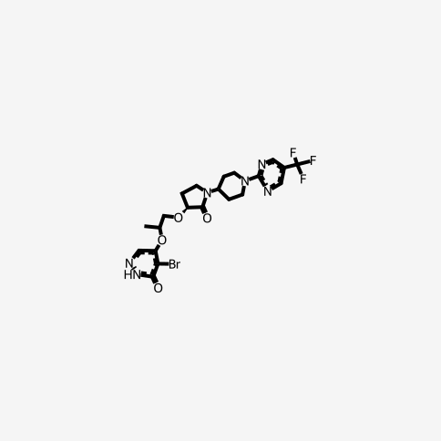 CC(CO[C@H]1CCN(C2CCN(c3ncc(C(F)(F)F)cn3)CC2)C1=O)Oc1cn[nH]c(=O)c1Br